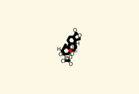 CC(C)[C@]12O[C@H]1[C@@H]1C[C@]13[C@]1(O[C@H]1C[C@H]1C4=C(CC[C@@]13O)C(=O)OC4)[C@@H]2OC(=O)Cl